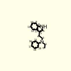 CCN(CCc1c[nH]c2ccccc12)c1ccccc1